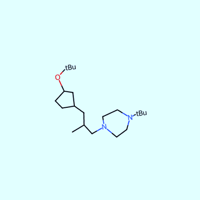 CC(CC1CCC(OC(C)(C)C)C1)CN1CCN(C(C)(C)C)CC1